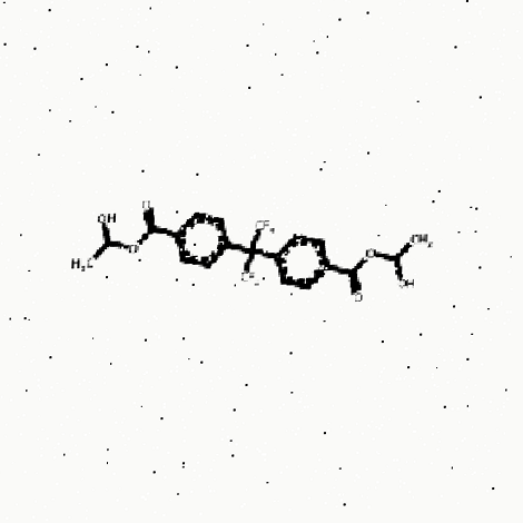 CC(O)OC(=O)c1ccc(C(c2ccc(C(=O)OC(C)O)cc2)(C(F)(F)F)C(F)(F)F)cc1